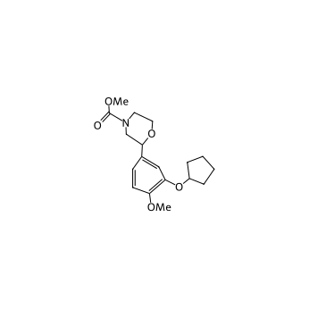 COC(=O)N1CCOC(c2ccc(OC)c(OC3CCCC3)c2)C1